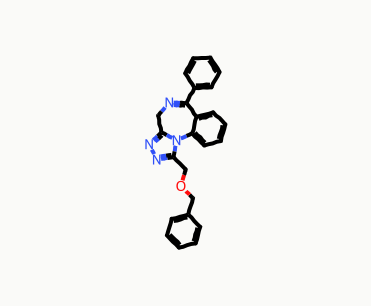 c1ccc(COCc2nnc3n2-c2ccccc2C(c2ccccc2)=NC3)cc1